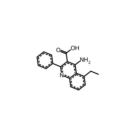 CCc1cccc2nc(-c3ccccc3)c(C(=O)O)c(N)c12